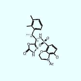 CC(=O)N1CCOc2c(S(=O)(=O)N[C@H](c3n[nH]c(=O)o3)[C@H](C)c3cccc(C)c3C)ccc(Cl)c21